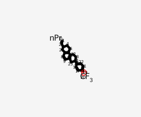 CCCC=CC1CCc2c(ccc3c2CCC(c2ccc(OC(F)(F)F)cc2)C3)C1